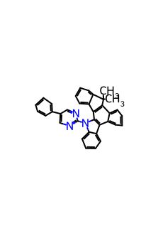 CC1(C)c2ccccc2-c2c1c1ccccc1c1c3ccccc3n(-c3ncc(-c4ccccc4)cn3)c21